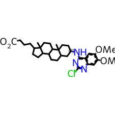 COc1cc2nc(Cl)nc(N[C@@H]3CCC4(C)C(CCC5C6CCC(CCCC(=O)O)C6(C)CCC54)C3)c2cc1OC